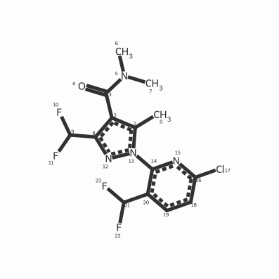 Cc1c(C(=O)N(C)C)c(C(F)F)nn1-c1nc(Cl)ccc1C(F)F